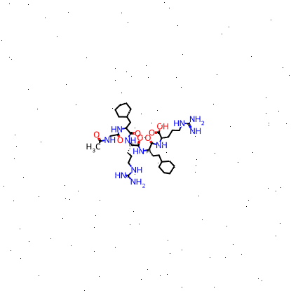 CC(=O)NCC(=O)NC(CC1CCCCC1)C(=O)N[C@@H](CCCNC(=N)N)C(=O)N[C@H](CCC1CCCCC1)C(=O)NC(CCCNC(=N)N)C(=O)O